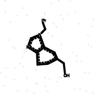 CC(C)Cn1cnc2ccc(CO)cc21